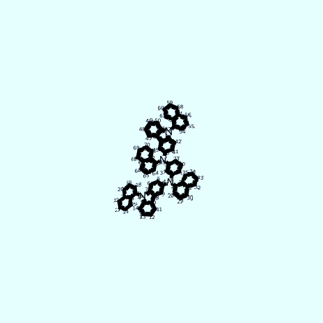 c1cc(N(c2ccc3c(c2)c2ccccc2n3-c2cccc3ccccc23)c2cccc3ccccc23)cc(N(c2ccc3c(c2)c2ccccc2n3-c2cccc3ccccc23)c2cccc3ccccc23)c1